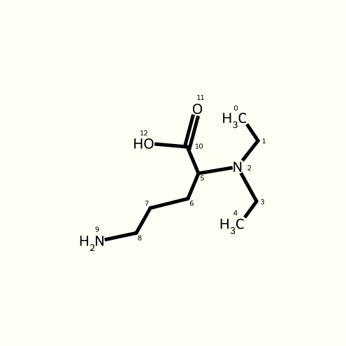 CCN(CC)C(CCCN)C(=O)O